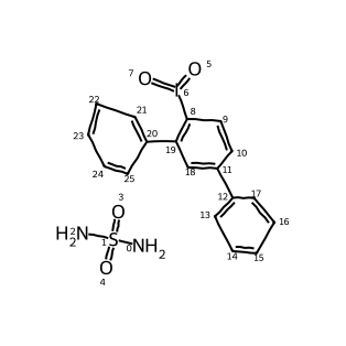 NS(N)(=O)=O.O=I(=O)c1ccc(-c2ccccc2)cc1-c1ccccc1